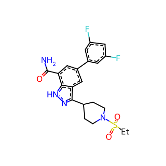 CCS(=O)(=O)N1CCC(c2n[nH]c3c(C(N)=O)cc(-c4cc(F)cc(F)c4)cc23)CC1